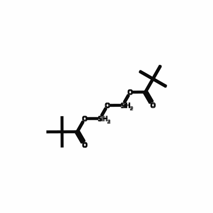 CC(C)(C)C(=O)O[SiH2]O[SiH2]OC(=O)C(C)(C)C